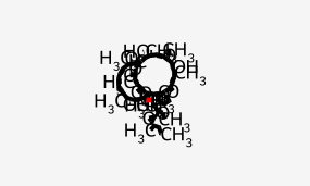 CCCC(C)[C@@H]1O[C@H]1C(OC)C(C)[C@H]1CCC[C@]2(C[C@H]3OC(=O)/C=C(/C)C(=O)O[C@@H](C[C@H](O)[C@@H](C)/C=C\[C@@H](OC)C[C@H](O)[C@@H](C)/C=C\C(=O)O2)[C@@H](OC)C/C=C/C=C/C=C/[C@@H](C)[C@@H](O)C[C@H](O)[C@@H]3C)O1